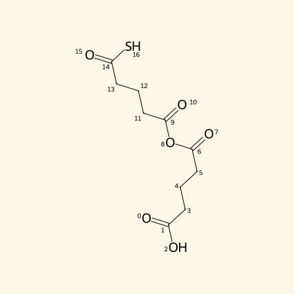 O=C(O)CCCC(=O)OC(=O)CCCC(=O)S